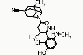 CNc1ccc(O)c(Cl)c1C(=N)C(C)CC(=O)N1C2CC3(C)CC1CC(C#N)(C2)C3